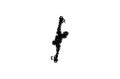 CCC1(COCCCCCOCc2ccc(N(c3ccccc3)c3ccc4ccc5c(N(c6ccc(COCCCCCOCC7(CC)COC7)cc6)c6ccc7sc8ccccc8c7c6)ccc6ccc3c4c65)cc2)COC1